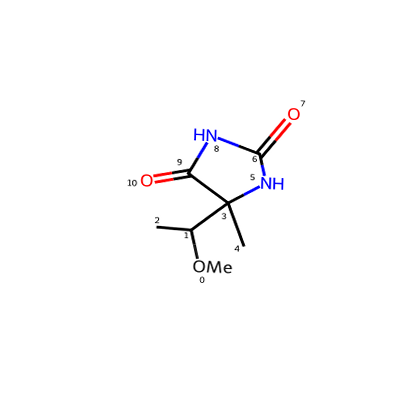 COC(C)C1(C)NC(=O)NC1=O